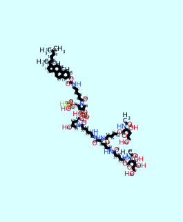 CC(=O)NC1C(O)CC(CO)OC1OCCCCC(=O)N[C@@H](CCCCNC(=O)CCCCOC1OC(CO)C(O)C(O)C1NC(C)=O)C(=O)NCCCCCC(=O)N1C[C@H](O)C[C@H]1COP(=O)(O)O[C@@H]1C[C@@H](COP(=O)(O)S)N(C(=O)CCCCCNC(=O)O[C@H]2CC[C@@]3(C)C(=CCC4C5CCC(C(C)CCCC(C)C)[C@@]5(C)CCC43)C2)C1